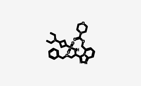 CCN(CC)C1CC(S(=O)(=O)NC(COCc2ccccc2)c2nnc3cccc(COC(=O)N4CCOCC4)n23)C1